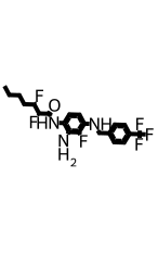 CCCC[C@H](F)[C@H](F)C(=O)Nc1ccc(NCc2ccc(C(F)(F)F)cc2)c(F)c1N